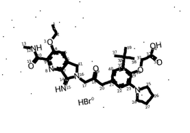 Br.CCOc1cc2c(nc1C(=O)NC)C(=N)N(CC(=O)Cc1cc(N3CCCC3)c(OCC(=O)O)c(C(C)(C)C)c1)C2